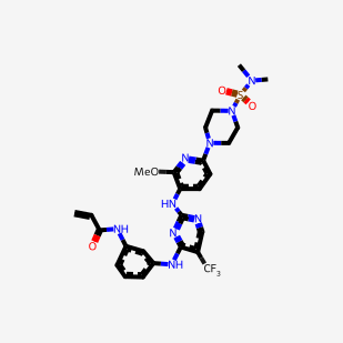 C=CC(=O)Nc1cccc(Nc2nc(Nc3ccc(N4CCN(S(=O)(=O)N(C)C)CC4)nc3OC)ncc2C(F)(F)F)c1